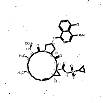 COc1cnc(O[C@@H]2C[C@H]3C(=O)N[C@]4(C(=O)NS(=O)(=O)C5CC5)C[C@H]4/C=C\CC[C@@H](C)C[C@@H](C)[C@H](NC(=O)O)C(=O)N3C2)c2cccc(Cl)c12